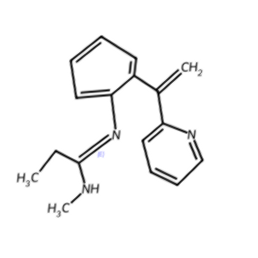 C=C(c1ccccn1)c1ccccc1/N=C(\CC)NC